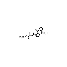 NCCC(=O)NCC(=O)N1CCC[C@@H]1C(=O)N1CCC[C@H]1C(=O)O